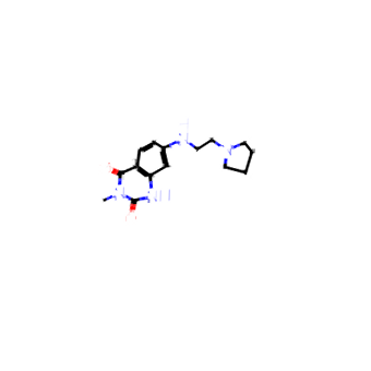 Cn1c(=O)[nH]c2cc(NCCN3CCCC3)ccc2c1=O